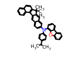 CC(C)c1ccc(N(c2ccc3cc4c(cc3c2)C(C)(C)c2ccc3ccccc3c2-4)c2cccc3c2oc2ccccc23)cc1